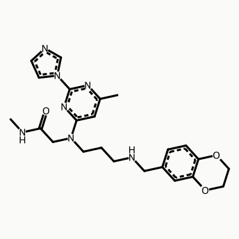 CNC(=O)CN(CCCNCc1ccc2c(c1)OCCO2)c1cc(C)nc(-n2ccnc2)n1